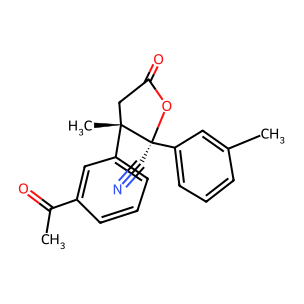 CC(=O)c1cccc([C@]2(C)CC(=O)O[C@@]2(C#N)c2cccc(C)c2)c1